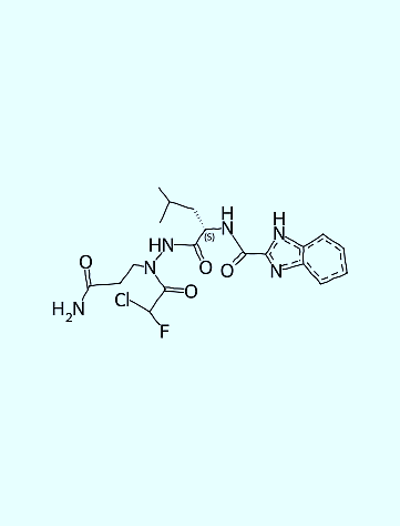 CC(C)C[C@H](NC(=O)c1nc2ccccc2[nH]1)C(=O)NN(CCC(N)=O)C(=O)C(F)Cl